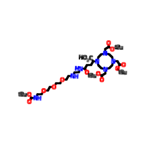 CC(C)(C)OC(=O)CN1CCN(CC(=O)OC(C)(C)C)CCN(C(CCC(=O)NCCNCCOCCOCCOCCNC(=O)OC(C)(C)C)C(=O)O)CCN(CC(=O)OC(C)(C)C)CC1